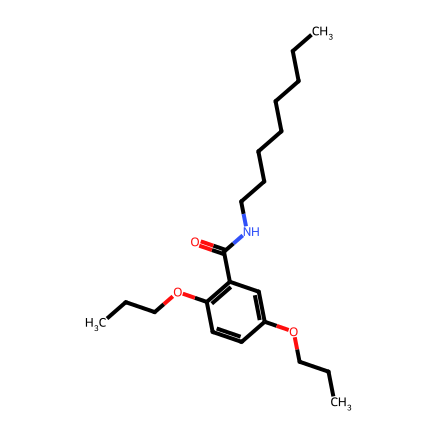 CCCCCCCCNC(=O)c1cc(OCCC)ccc1OCCC